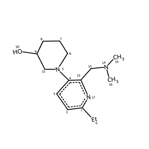 CCc1ccc(N2CCCC(O)C2)c(CN(C)C)n1